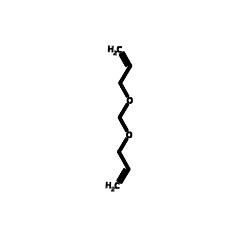 C=CCOCOCC=C